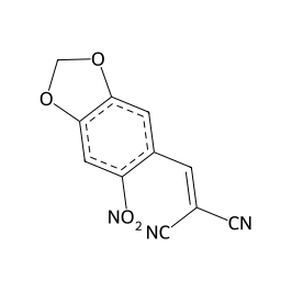 N#CC(C#N)=Cc1cc2c(cc1[N+](=O)[O-])OCO2